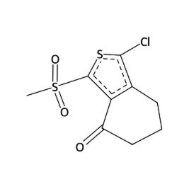 CS(=O)(=O)c1sc(Cl)c2c1C(=O)CCC2